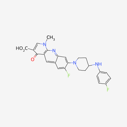 Cn1cc(C(=O)O)c(=O)c2cc3cc(F)c(N4CCC(Nc5ccc(F)cc5)CC4)cc3nc21